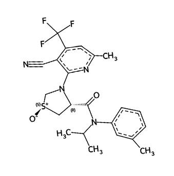 Cc1cccc(N(C(=O)[C@@H]2C[S@@+]([O-])CN2c2nc(C)cc(C(F)(F)F)c2C#N)C(C)C)c1